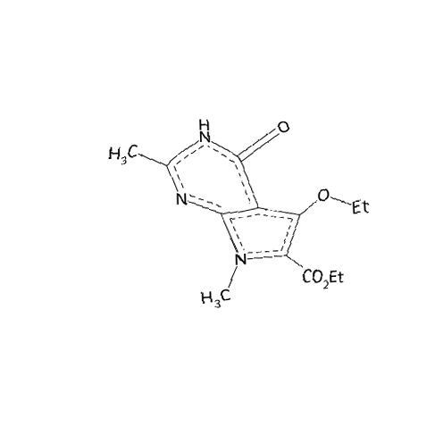 CCOC(=O)c1c(OCC)c2c(=O)[nH]c(C)nc2n1C